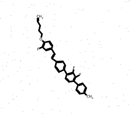 C=CCCCOc1ccc(/C=C/c2ccc(-c3ccc(-c4ccc(C)cc4)c(F)c3F)cc2)cc1F